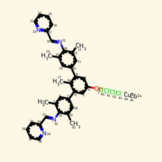 Cc1cc(-c2cc(O)cc(-c3cc(C)c(N=Cc4ccccn4)c(C)c3)c2C)cc(C)c1N=Cc1ccccn1.[Cl-].[Cl-].[Cl-].[Cl-].[Cu+2].[Cu+2]